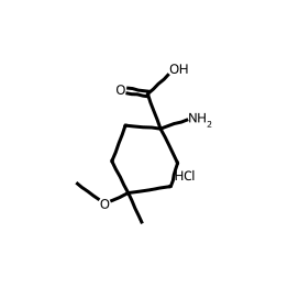 COC1(C)CCC(N)(C(=O)O)CC1.Cl